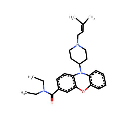 CCN(CC)C(=O)c1ccc2c(c1)Oc1ccccc1N2C1CCN(CC=C(C)C)CC1